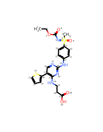 CCOC(=O)N=S(C)(=O)c1ccc(Nc2ncc(-c3cccs3)c(NCCC(=O)O)n2)cc1